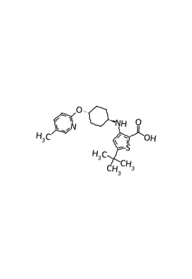 Cc1ccc(O[C@H]2CC[C@H](Nc3cc(C(C)(C)C)sc3C(=O)O)CC2)nc1